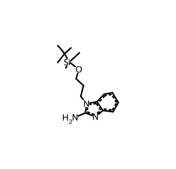 CC(C)(C)[Si](C)(C)OCCCn1c(N)nc2ccccc21